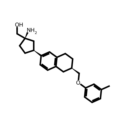 Cc1cccc(OC[C@@H]2CCc3cc([C@H]4CC[C@](N)(CO)C4)ccc3C2)c1